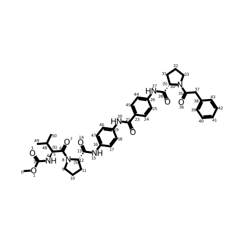 COC(=O)N[C@H](C(=O)N1CCC[C@H]1C(=O)Nc1ccc(NC(=O)c2ccc(NC(=O)[C@@H]3CCCN3C(=O)Cc3ccccc3)cc2)cc1)C(C)C